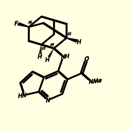 CNC(=O)c1cnc2[nH]ccc2c1N[C@H]1[C@@H]2CC3C[C@H]1C[C@@](F)(C3)C2